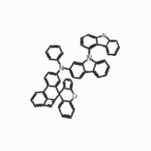 c1ccc(N(c2ccc3c(c2)C2(c4ccccc4Oc4ccccc42)c2cccc4cccc-3c24)c2ccc3c4ccccc4n(-c4cccc5sc6ccccc6c45)c3c2)cc1